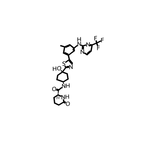 Cc1cc(Nc2nccc(C(F)(F)F)n2)cc(-c2cnc([C@]3(O)CC[C@@H](NC(=O)[C@@H]4CCCC(=O)N4)CC3)s2)c1